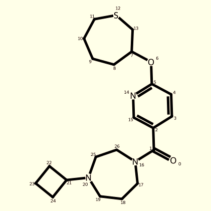 O=C(c1ccc(OC2CCCCSC2)nc1)N1CCCN(C2CCC2)CC1